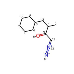 CC(CC1CCCCC1)C(=O)C=[N+]=[N-]